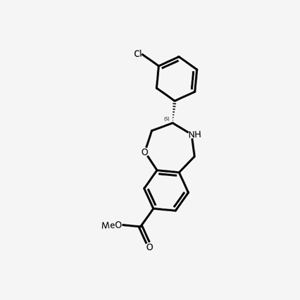 COC(=O)c1ccc2c(c1)OC[C@H](C1C=CC=C(Cl)C1)NC2